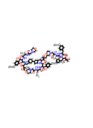 COc1ccc(CC(NC(=O)C(C)NC(=O)CN2CCOC(CC3(C(=O)C(CC4CCC(C5CCC=C(CC(NC(=O)C(NC(=O)C(C)NC(=O)CN6CCOCC6)C(O)c6ccc(OC)cc6)C(=O)C6(C)CO6)C5)C4)NC(=O)C(NC(=O)C(C)NC(=O)CN4CCOCC4)C(O)c4ccc(OC)cc4)CO3)C2)C(=O)NC(CC2CC=CC2)C(=O)C2(C)CO2)cc1